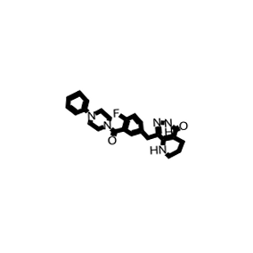 O=C(c1cc(Cc2n[nH]c(=O)c3c2NCCC3)ccc1F)N1CCN(c2ccccc2)CC1